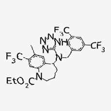 CCOC(=O)N1CCCC(N(Cc2cc(C(F)(F)F)cc(C(F)(F)F)c2)c2nnn[nH]2)c2cc(C)c(C(F)(F)F)cc21